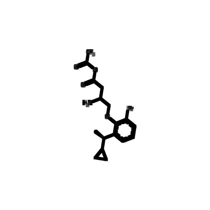 CC(C)c1cccc([C@H](C)C2CC2)c1OCC(N)CC(=O)OC(=O)C(F)(F)F